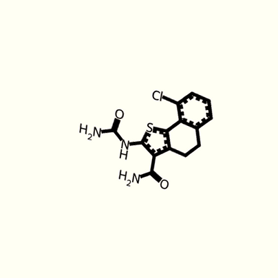 NC(=O)Nc1sc2c(c1C(N)=O)CCc1cccc(Cl)c1-2